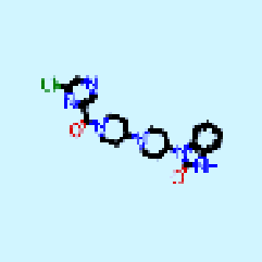 O=C(c1cncc(Cl)n1)N1CCC(N2CCC(n3c(=O)[nH]c4ccccc43)CC2)CC1